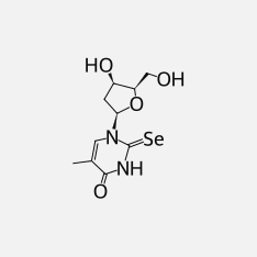 Cc1cn([C@H]2C[C@@H](O)[C@@H](CO)O2)c(=[Se])[nH]c1=O